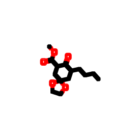 CCCCC1CC2(CC(C(=O)OC)C1=O)OCCO2